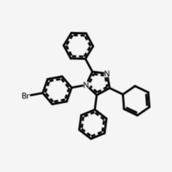 Brc1ccc(-n2c(-c3ccccc3)nc(C3C=CC=CC3)c2-c2ccccc2)cc1